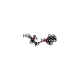 COc1cc2c(c(Cl)c1OC(C)=O)Oc1c(cc(OC)c(OC(C)=O)c1Cl)C21OC(=O)c2ccc(C(=O)NCCCCCCCCOc3ccc(Cc4nc5c(Cc6ccccc6)[nH]c(-c6ccc(O)cc6)cn-5c4=O)cc3F)cc21